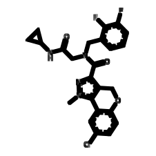 Cn1nc(C(=O)N(CC(=O)NC2CC2)Cc2cccc(F)c2F)c2c1-c1cc(Cl)ccc1OC2